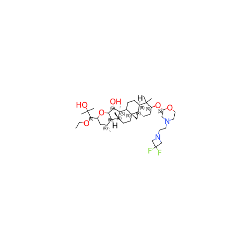 CCO[C@@H](C1C[C@@H](C)[C@H]2C(O1)[C@H](O)[C@@]1(C)C3CC[C@H]4C(C)(C)[C@@H](O[C@H]5CN(CCN6CC(F)(F)C6)CCO5)CC[C@@]45C[C@@]35CC[C@]21C)C(C)(C)O